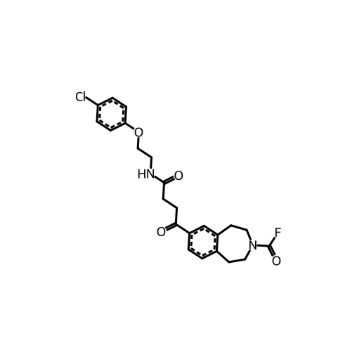 O=C(CCC(=O)c1ccc2c(c1)CCN(C(=O)F)CC2)NCCOc1ccc(Cl)cc1